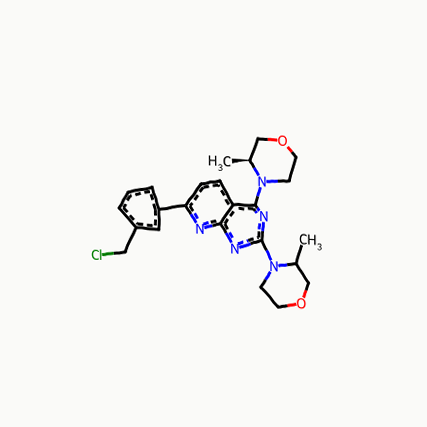 CC1COCCN1c1nc(N2CCOC[C@@H]2C)c2ccc(-c3cccc(CCl)c3)nc2n1